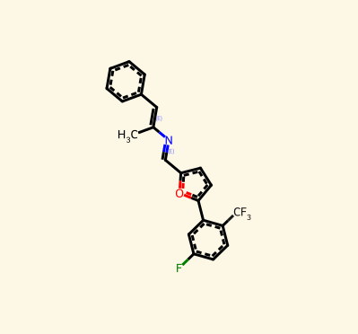 CC(=C\c1ccccc1)/N=C/c1ccc(-c2cc(F)ccc2C(F)(F)F)o1